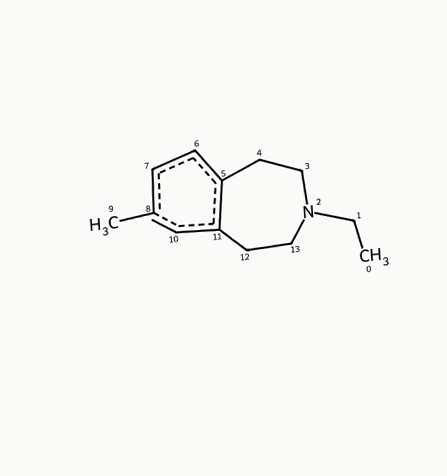 CCN1CCc2ccc(C)cc2CC1